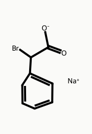 O=C([O-])C(Br)c1ccccc1.[Na+]